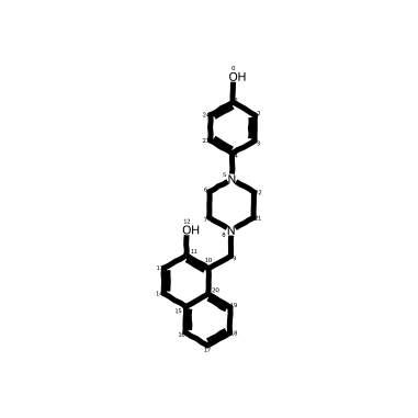 Oc1ccc(N2CCN(Cc3c(O)ccc4ccccc34)CC2)cc1